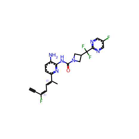 C#C/C(F)=C\C=C(/C)c1ccc(N)c(NC(=O)N2CC(C(F)(F)c3ncc(F)cn3)C2)n1